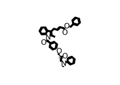 Cc1c(CC=CC(=O)OCc2ccccc2)c2ccccc2n1C(=O)c1ccc(OC[C@@H]2CN(C)c3ccccc3O2)cc1